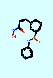 O=C(/C=C\c1cccc([S+]([O-])Nc2ccccc2)c1)NO